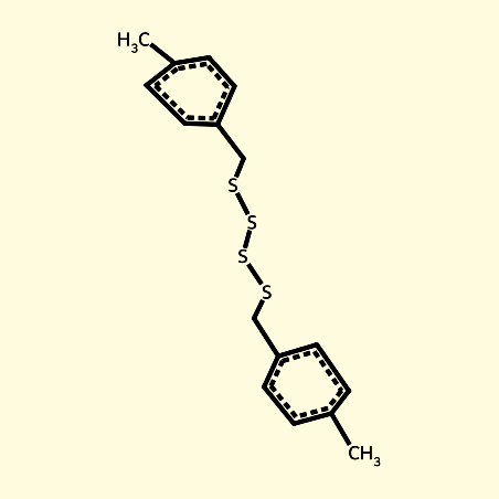 Cc1ccc(CSSSSCc2ccc(C)cc2)cc1